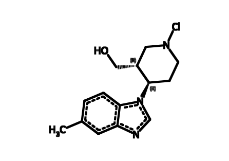 Cc1ccc2c(c1)ncn2[C@@H]1CCN(Cl)C[C@H]1CO